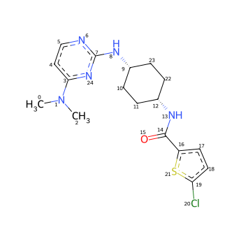 CN(C)c1ccnc(N[C@H]2CC[C@@H](NC(=O)c3ccc(Cl)s3)CC2)n1